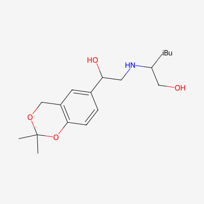 CCC(C)C(CO)NCC(O)c1ccc2c(c1)COC(C)(C)O2